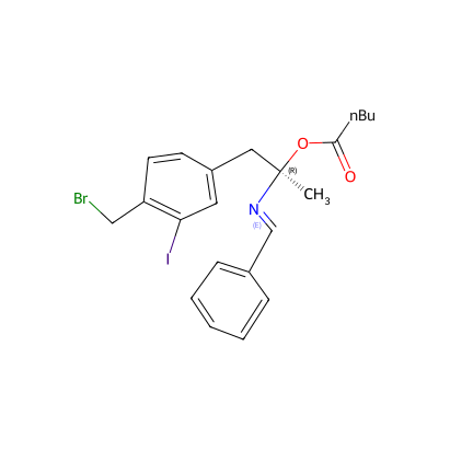 CCCCC(=O)O[C@](C)(Cc1ccc(CBr)c(I)c1)/N=C/c1ccccc1